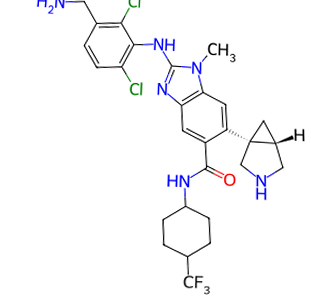 Cn1c(Nc2c(Cl)ccc(CN)c2Cl)nc2cc(C(=O)NC3CCC(C(F)(F)F)CC3)c([C@@]34CNC[C@H]3C4)cc21